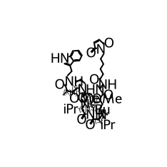 CC[C@H](C)[C@@H]([C@@H](CC(=O)N1CCC[C@H]1[C@H](OC)[C@@H](C)C(=O)NCCc1c[nH]c2ccccc12)OC)N(C)[C@H](C(=O)NC(=O)[C@H](C(C)C)N(C)CCCC(=O)NNC(=O)CCCCCN1C(=O)C=CC1=O)C(C)C